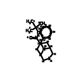 CC(C)(C)OC(=O)N1CC2CSCC(C1)N2Cc1ccccc1